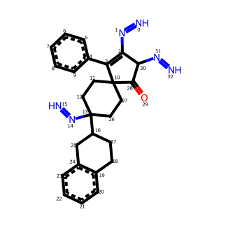 N=NC1=C(c2ccccc2)C2(CCC(N=N)(C3CCc4ccccc4C3)CC2)C(=O)C1N=N